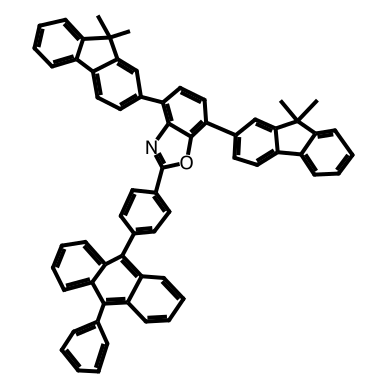 CC1(C)c2ccccc2-c2ccc(-c3ccc(-c4ccc5c(c4)C(C)(C)c4ccccc4-5)c4oc(-c5ccc(-c6c7ccccc7c(-c7ccccc7)c7ccccc67)cc5)nc34)cc21